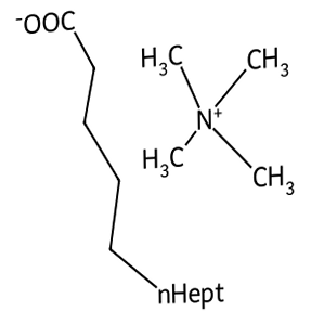 CCCCCCCCCCCC(=O)[O-].C[N+](C)(C)C